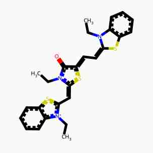 CCN1C(=CC=c2sc(=Cc3sc4ccccc4[n+]3CC)n(CC)c2=O)Sc2ccccc21